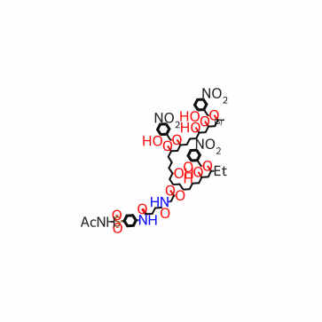 CCC1CC(CCCC2CC(CC(O)CCCC3CC(CCCC(O)CC4C[C@H](C)OC(c5cc([N+](=O)[O-])ccc5O)O4)OC(c4cc([N+](=O)[O-])ccc4O)O3)OC(CNC(=O)CCC(=O)Nc3ccc(S(=O)(=O)NC(C)=O)cc3)O2)OC(c2cc([N+](=O)[O-])ccc2O)O1